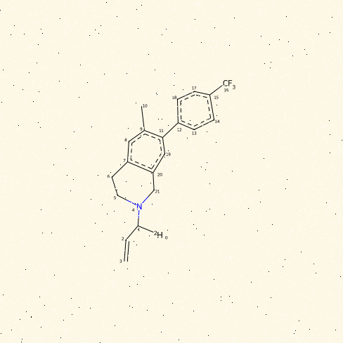 [2H]C(C=C)N1CCc2cc(C)c(-c3ccc(C(F)(F)F)cc3)cc2C1